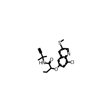 C#CC(C)(C)NC(=O)C(CC)Oc1cc(Cl)c2ncc(SC)cc2c1